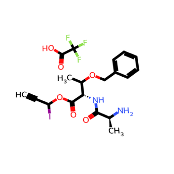 C#CC(I)OC(=O)[C@@H](NC(=O)[C@H](C)N)C(C)OCc1ccccc1.O=C(O)C(F)(F)F